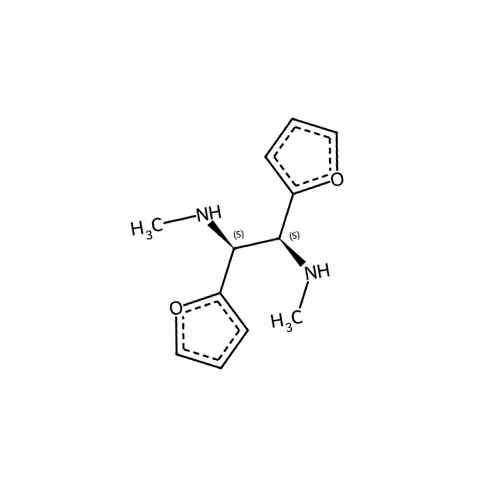 CN[C@H](c1ccco1)[C@H](NC)c1ccco1